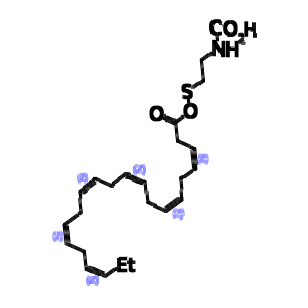 CC/C=C\C/C=C\C/C=C\C/C=C\C/C=C\C/C=C\CC(=O)OSCCNC(=O)O